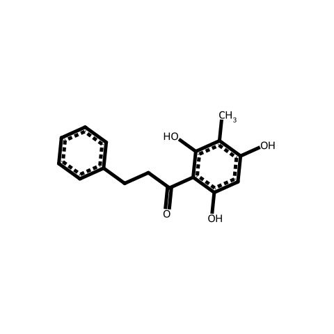 Cc1c(O)cc(O)c(C(=O)CCc2ccccc2)c1O